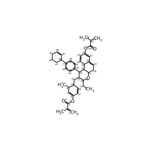 C=C(C)C(=O)OC1=CC(C)C(CC2C(CC)OC3CC=C4C=C(OC(=O)C(C)C)C=CC4C3C2c2ccc(C3C=CCCC3)cc2)C=C1